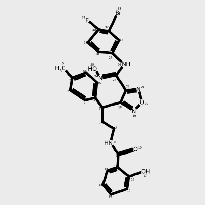 Cc1ccc(C(CCNC(=O)c2ccccc2O)c2nonc2C(=NO)Nc2ccc(F)c(Br)c2)cc1